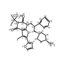 Cc1c(-c2ncco2)sc2c1c(=O)n(C(C)(C)C(=O)O)c(=O)n2C[C@H](C[C@H]1CC[C@@H](N)CC1)c1ccccc1